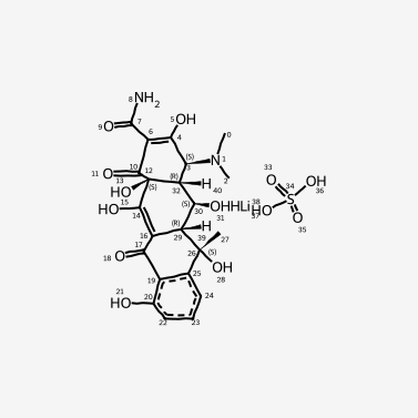 CN(C)[C@@H]1C(O)=C(C(N)=O)C(=O)[C@@]2(O)C(O)=C3C(=O)c4c(O)cccc4[C@@](C)(O)[C@H]3[C@H](O)[C@@H]12.O=S(=O)(O)O.[LiH]